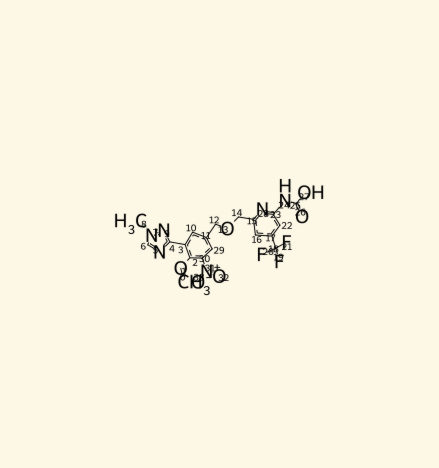 COc1c(-c2ncn(C)n2)cc(COCc2cc(C(F)(F)F)cc(NC(=O)O)n2)cc1[N+](=O)[O-]